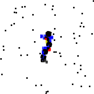 CN1CCN(c2ccc(NC(=O)N3CCc4nc(C(=O)Nc5ccccc5N)sc4C3)cn2)CC1